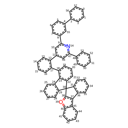 c1ccc(-c2cccc(-c3cc(-c4ccccc4-c4cccc5c4-c4ccccc4C54c5ccccc5-c5c4oc4ccccc54)cc(-c4ccccc4)n3)c2)cc1